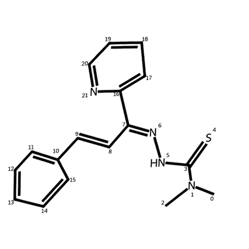 CN(C)C(=S)N/N=C(\C=C\c1ccccc1)c1ccccn1